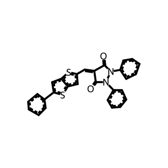 O=C1C(=Cc2cc3sc(-c4ccccc4)cc3s2)C(=O)N(c2ccccc2)N1c1ccccc1